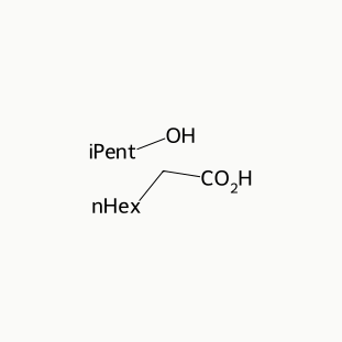 CCCC(C)O.CCCCCCCC(=O)O